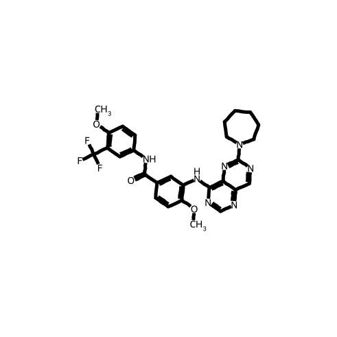 COc1ccc(C(=O)Nc2ccc(OC)c(C(F)(F)F)c2)cc1Nc1ncnc2cnc(N3CCCCCC3)nc12